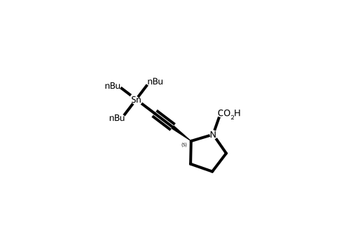 CCC[CH2][Sn]([C]#C[C@@H]1CCCN1C(=O)O)([CH2]CCC)[CH2]CCC